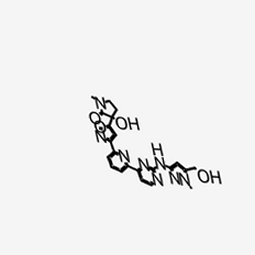 CN1CCC(O)(c2cc(-c3cccc(-c4ccnc(Nc5cc(CO)n(C)n5)n4)n3)no2)C1=O